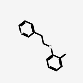 Ic1ccccc1OCCc1cccnc1